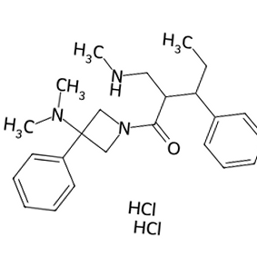 CCC(c1ccccc1)C(CNC)C(=O)N1CC(c2ccccc2)(N(C)C)C1.Cl.Cl